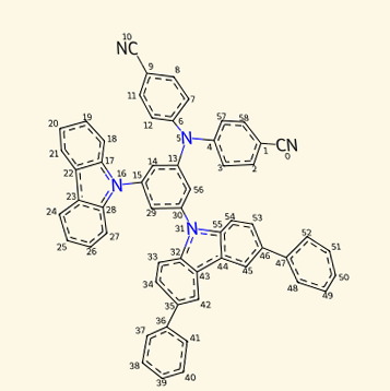 N#Cc1ccc(N(c2ccc(C#N)cc2)c2cc(-n3c4ccccc4c4ccccc43)cc(-n3c4ccc(-c5ccccc5)cc4c4cc(-c5ccccc5)ccc43)c2)cc1